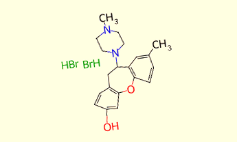 Br.Br.Cc1ccc2c(c1)C(N1CCN(C)CC1)Cc1ccc(O)cc1O2